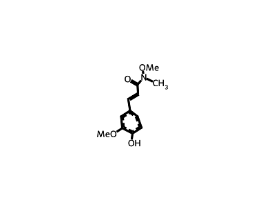 COc1cc(C=CC(=O)N(C)OC)ccc1O